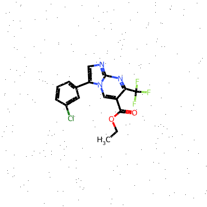 CCOC(=O)c1cn2c(-c3cccc(Cl)c3)cnc2nc1C(F)(F)F